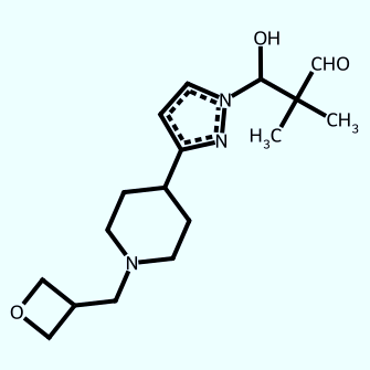 CC(C)(C=O)C(O)n1ccc(C2CCN(CC3COC3)CC2)n1